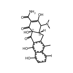 Cc1c2c(c(O)c3c(O)ccc(I)c13)C(=O)[C@]1(O)C(=O)C(C(N)=O)=C(O)C(N(C)C)[C@@H]1C2